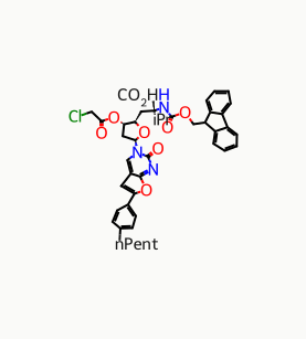 CCCCCc1ccc(-c2cc3cn([C@H]4C[C@H](OC(=O)CCl)[C@@H](C[C@@](NC(=O)OCC5c6ccccc6-c6ccccc65)(C(=O)O)C(C)C)O4)c(=O)nc3o2)cc1